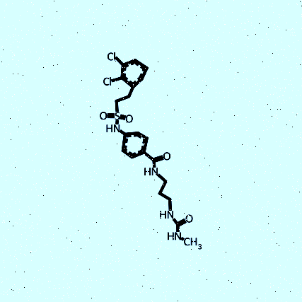 CNC(=O)NCCCNC(=O)c1ccc(NS(=O)(=O)CCc2cccc(Cl)c2Cl)cc1